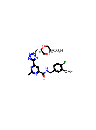 COc1cc(CNC(=O)c2cc(-c3nnn(C[C@H]4CO[C@H](C(=O)O)CO4)n3)nc(C)n2)ccc1F